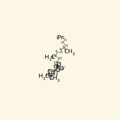 CC(C)CCCC(C)CCCC(C)CCOP(=O)([O-])OCC[N+](C)(C)C